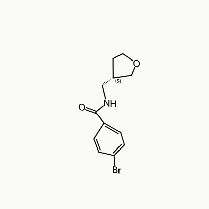 O=C(NC[C@@H]1CCOC1)c1ccc(Br)cc1